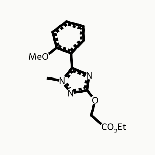 CCOC(=O)COc1nc(-c2ccccc2OC)n(C)n1